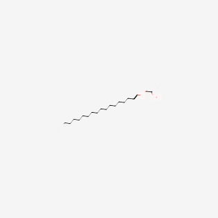 [CH2]C(O)COC=CCCCCCCCCCCCCCCCC